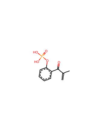 C=C(C)C(=O)c1ccccc1OP(=O)(O)O